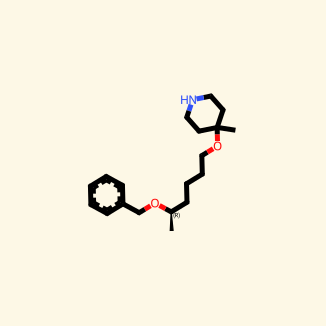 C[C@H](CCCCOC1(C)CCNCC1)OCc1ccccc1